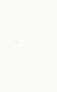 C=C(C)C(=O)O.NC(=O)C(N)=O